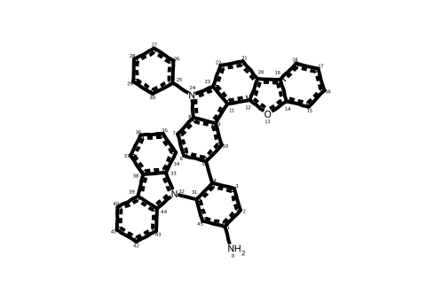 Nc1ccc(-c2ccc3c(c2)c2c4oc5ccccc5c4ccc2n3-c2ccccc2)c(-n2c3ccccc3c3ccccc32)c1